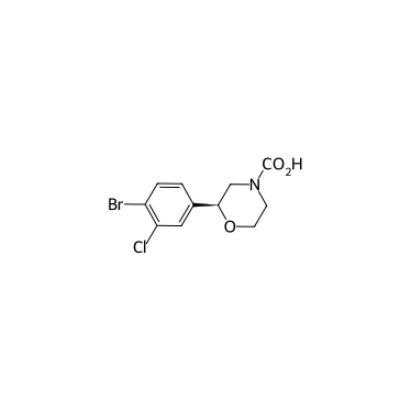 O=C(O)N1CCO[C@@H](c2ccc(Br)c(Cl)c2)C1